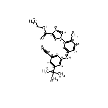 CCOC(=O)c1cn(-c2cc(Nc3cc(C#N)cc(C(C)(C)C)c3)cnc2C)nn1